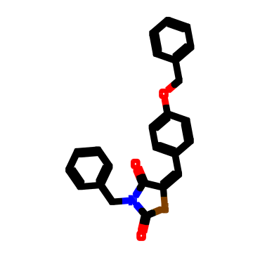 O=C1S/C(=C/c2ccc(OCc3ccccc3)cc2)C(=O)N1Cc1ccccc1